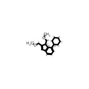 COCC1=Cc2cccc(C3CCCCC3)c2C1COC